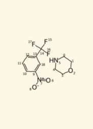 C1COCCN1.O=[N+]([O-])c1cccc(C(F)(F)F)c1